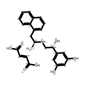 C[C@@H](Cc1cccc2ccccc12)NC[C@H](O)c1cc(O)cc(O)c1.O=C(O)C=CC(=O)O